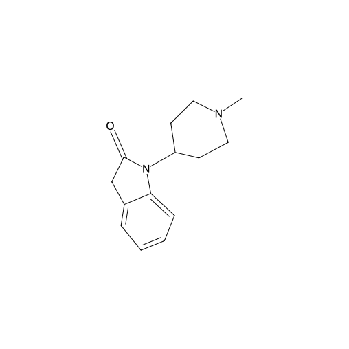 CN1CCC(N2C(=O)Cc3ccccc32)CC1